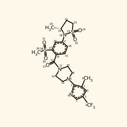 Cc1cc(C(F)(F)F)cnc1N1CCN(C(=O)c2ccc(N3[C@H](C)CCS3(=O)=O)cc2S(C)(=O)=O)CC1